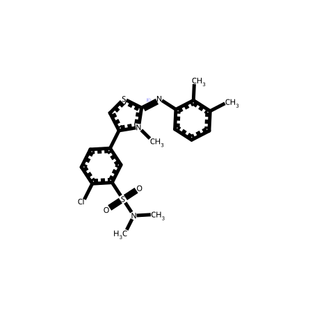 Cc1cccc(/N=c2/scc(-c3ccc(Cl)c(S(=O)(=O)N(C)C)c3)n2C)c1C